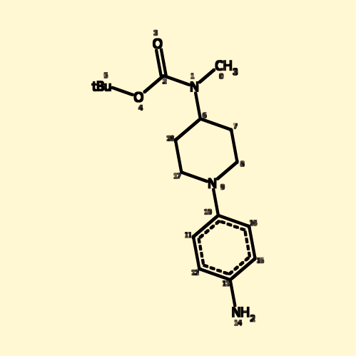 CN(C(=O)OC(C)(C)C)C1CCN(c2ccc(N)cc2)CC1